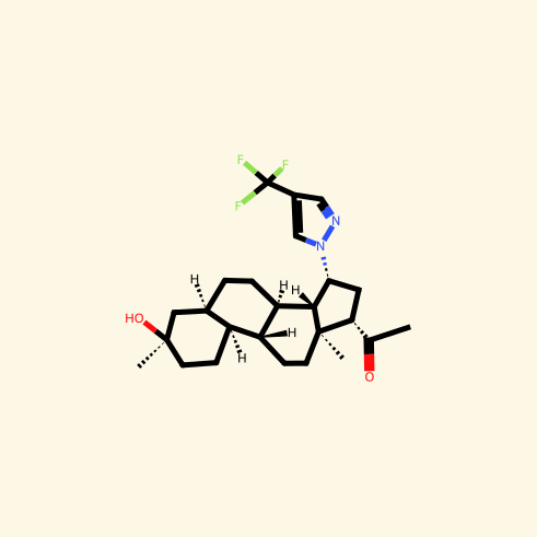 CC(=O)[C@H]1C[C@@H](n2cc(C(F)(F)F)cn2)[C@H]2[C@@H]3CC[C@@H]4C[C@](C)(O)CC[C@@H]4[C@H]3CC[C@@]21C